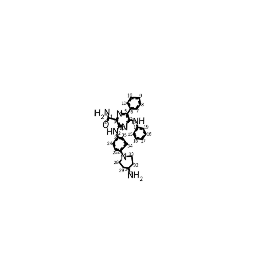 NC(=O)c1nc(-c2ccccc2)c(Nc2ccccc2)nc1Nc1ccc(N2CCC(N)CC2)cc1